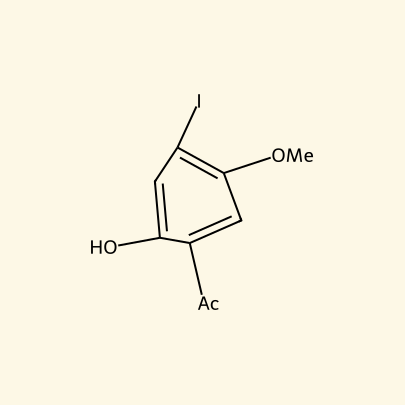 COc1cc(C(C)=O)c(O)cc1I